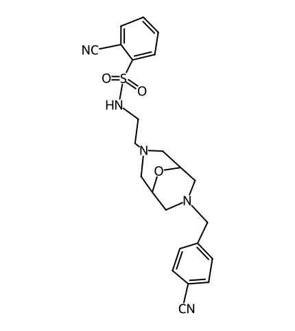 N#Cc1ccc(CN2CC3CN(CCNS(=O)(=O)c4ccccc4C#N)CC(C2)O3)cc1